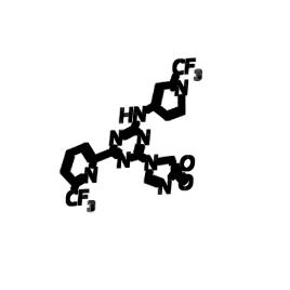 O=S1(=O)CN(c2nc(Nc3ccnc(C(F)(F)F)c3)nc(-c3cccc(C(F)(F)F)n3)n2)C=N1